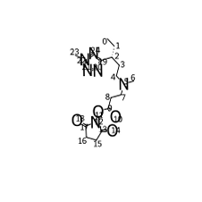 CC[C@H](CCN(C)CCC(=O)ON1C(=O)CCC1=O)c1nnn(C)n1